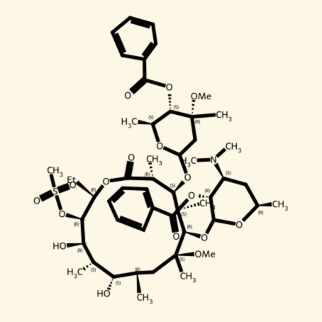 CC[C@H]1OC(=O)[C@H](C)[C@@H](OC2C[C@@](C)(OC)[C@@H](OC(=O)c3ccccc3)[C@H](C)O2)[C@H](C)[C@@H](OC2O[C@H](C)C[C@H](N(C)C)[C@H]2OC(=O)c2ccccc2)[C@@](C)(OC)C[C@@H](C)[C@H](O)[C@H](C)[C@@H](O)[C@H]1OS(C)(=O)=O